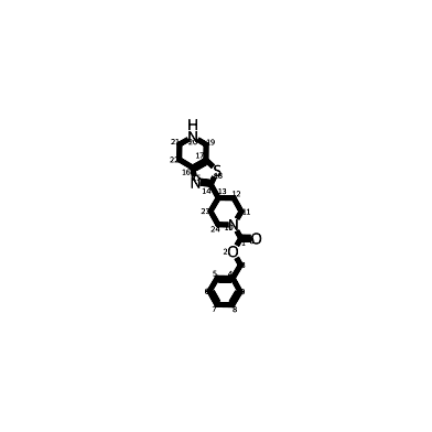 O=C(OCc1ccccc1)N1CCC(c2nc3c(s2)CNCC3)CC1